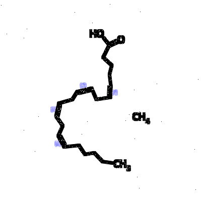 C.CCCCC/C=C\C/C=C\C/C=C\C/C=C\CCCC(=O)O